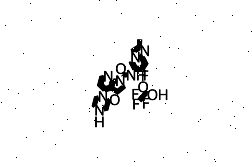 Cc1cn2cc(NC(=O)N3CCc4c(N5CCNCC5=O)ccnc43)c(F)cc2n1.O=C(O)C(F)(F)F